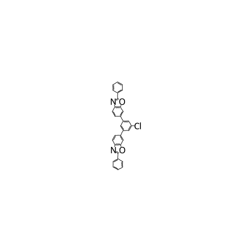 Clc1cc(-c2ccc3nc(-c4ccccc4)oc3c2)cc(-c2ccc3nc(-c4ccccc4)oc3c2)c1